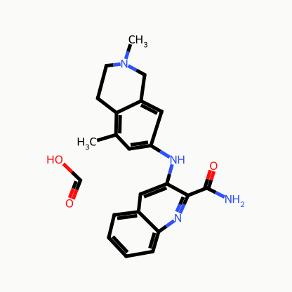 Cc1cc(Nc2cc3ccccc3nc2C(N)=O)cc2c1CCN(C)C2.O=CO